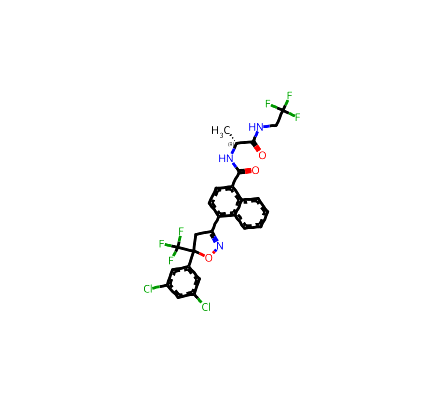 C[C@@H](NC(=O)c1ccc(C2=NOC(c3cc(Cl)cc(Cl)c3)(C(F)(F)F)C2)c2ccccc12)C(=O)NCC(F)(F)F